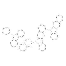 c1ccc(-n2c3ccccc3c3c(-c4nc(-n5c6ccccc6c6cc7c(-n8c9ccccc9c9cc%10ccccc%10cc98)cccc7cc65)nc5ccccc45)cccc32)cc1